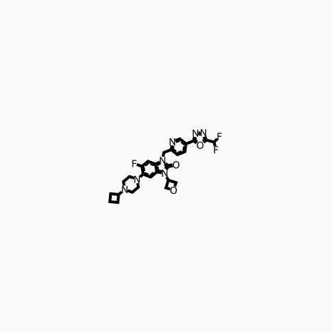 O=c1n(Cc2ccc(-c3nnc(C(F)F)o3)cn2)c2cc(F)c(N3CCN(C4CCC4)CC3)cc2n1C1COC1